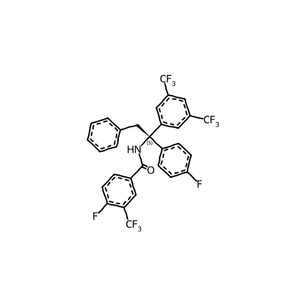 O=C(N[C@@](Cc1ccccc1)(c1ccc(F)cc1)c1cc(C(F)(F)F)cc(C(F)(F)F)c1)c1ccc(F)c(C(F)(F)F)c1